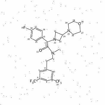 CN(CCc1cc(C(F)(F)F)cc(C(F)(F)F)c1)C(=O)C(c1ccc(F)cc1)N1CC(N2CCOCC2)C1